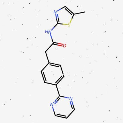 Cc1cnc(NC(=O)Cc2ccc(-c3ncccn3)cc2)s1